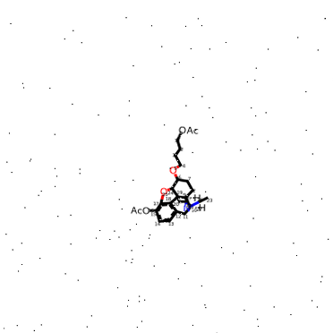 CC(=O)OCCCCOC1CC[C@H]2[C@H]3Cc4ccc(OC(C)=O)c5c4[C@@]2(CCN3C)C1O5